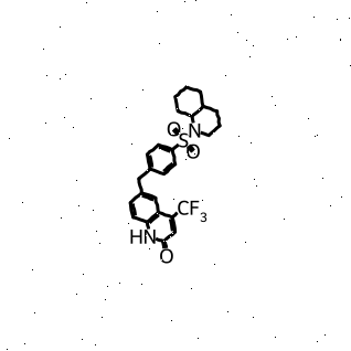 O=c1cc(C(F)(F)F)c2cc(Cc3ccc(S(=O)(=O)N4CCCC5CCCCC54)cc3)ccc2[nH]1